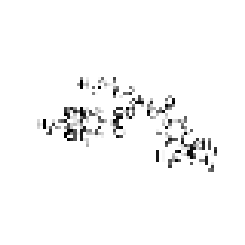 [CH2]COC[C](OOC(=O)c1ccc([Si](C)(C)C)cc1)OOC(=O)c1ccc([Si](C)(C)C)cc1